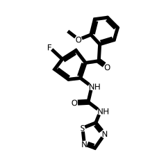 COc1ccccc1C(=O)c1cc(F)ccc1NC(=O)Nc1ncns1